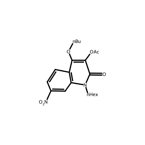 CCCCCCn1c(=O)c(OC(C)=O)c(OCCCC)c2ccc([N+](=O)[O-])cc21